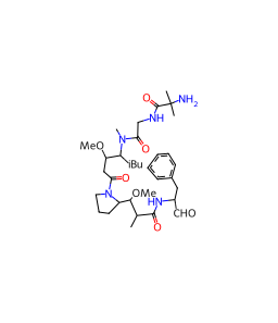 CCC(C)C(C(CC(=O)N1CCCC1C(OC)C(C)C(=O)NC(C=O)Cc1ccccc1)OC)N(C)C(=O)CNC(=O)C(C)(C)N